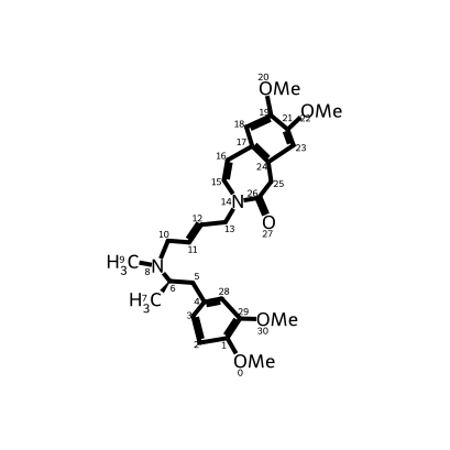 COc1ccc(C[C@@H](C)N(C)CC=CCN2C=Cc3cc(OC)c(OC)cc3CC2=O)cc1OC